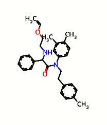 C=COCCNC(C(=O)N(CCc1ccc(C)cc1)c1ccc(C)c(C)c1)c1ccccc1